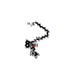 CC/C=C\CC=CCC=CC/C=C\C/C=C\CCCCNCCSSCCN(c1cccc2ccccc12)P(=O)(O)OC[C@H]1OC(n2cc(F)c(=O)[nH]c2=O)C[C@@H]1O